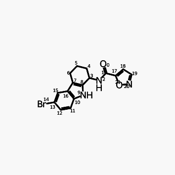 O=C(NC1CCCc2c1[nH]c1ccc(Br)cc21)c1ccno1